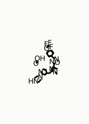 Cn1cc(-c2nc(-c3ccc(OC(F)(F)F)cc3)no2)nc1Cc1ccnc(N2CCNCC2)c1.O=CO